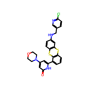 O=c1cc(N2CCOCC2)cc(-c2cccc3c2Sc2ccc(NCc4ccc(Cl)nc4)cc2S3)[nH]1